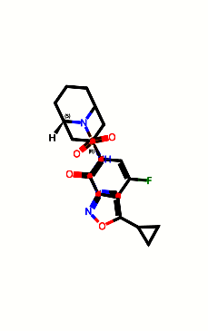 O=C(N[C@@H]1CC2CCC[C@@H](C1)N2S(=O)(=O)c1cncc(F)c1)c1cc(C2CC2)on1